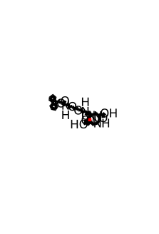 O=C(O)CN1CCNCCN(CC(=O)O)CCN(CC(=O)NCCOCCOCCNC(=O)OCC2c3ccccc3-c3ccccc32)CC1